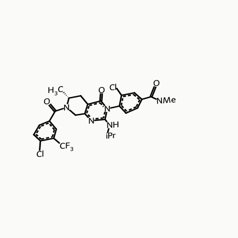 CNC(=O)c1ccc(-n2c(NC(C)C)nc3c(c2=O)C[C@@H](C)N(C(=O)c2ccc(Cl)c(C(F)(F)F)c2)C3)c(Cl)c1